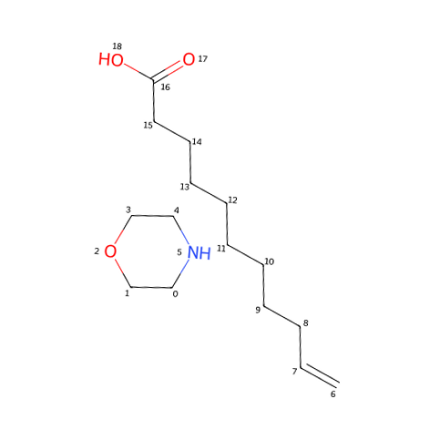 C1COCCN1.C=CCCCCCCCCC(=O)O